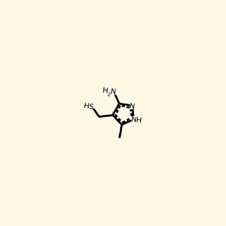 Cc1[nH]nc(N)c1CS